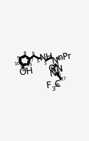 CCCN(CCNCCc1cccc(O)c1)c1nc(CC(F)(F)F)no1